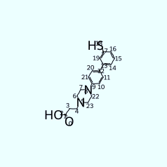 O=C(O)CCN1CCN(c2ccc(-c3cccc(S)c3)cc2)CC1